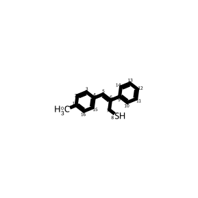 Cc1ccc(C=C(CS)c2ccccc2)cc1